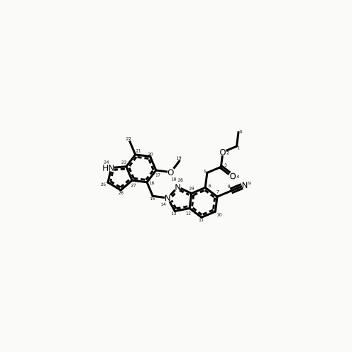 CCOC(=O)Cc1c(C#N)ccc2cn(Cc3c(OC)cc(C)c4[nH]ccc34)nc12